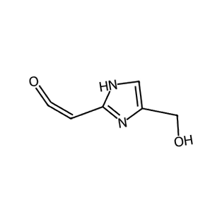 O=C=Cc1nc(CO)c[nH]1